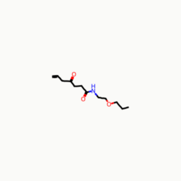 C=CCC(=O)CCC(=O)NCCOCCC